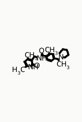 Cc1cc(C)c(CNC(=O)c2ccc(C(C)N3CCCCC3)cc2C)c(=O)[nH]1